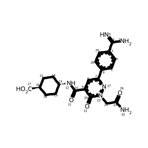 N=C(N)c1ccc(-c2cc(C(=O)N[C@H]3CC[C@H](C(=O)O)CC3)c(=O)n(CC(N)=O)n2)cc1